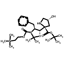 CC(C)(C)OC(=O)[C@]1([C@@H]2OC(C)(C)N(C(=O)OCC[Si](C)(C)C)[C@H]2Cc2ccccc2)C[C@@H](O)CN1